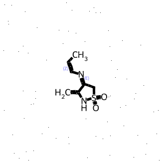 C=C1NS(=O)(=O)C/C1=N/C=C\C